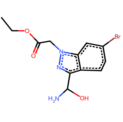 CCOC(=O)Cn1nc(C(N)O)c2ccc(Br)cc21